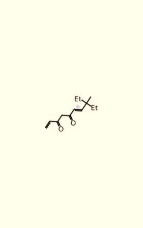 C=CC(=O)CC(=O)/C=C/C(C)(CC)CC